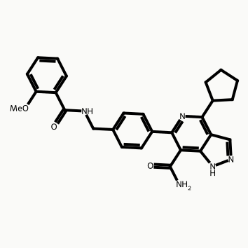 COc1ccccc1C(=O)NCc1ccc(-c2nc(C3CCCC3)c3cn[nH]c3c2C(N)=O)cc1